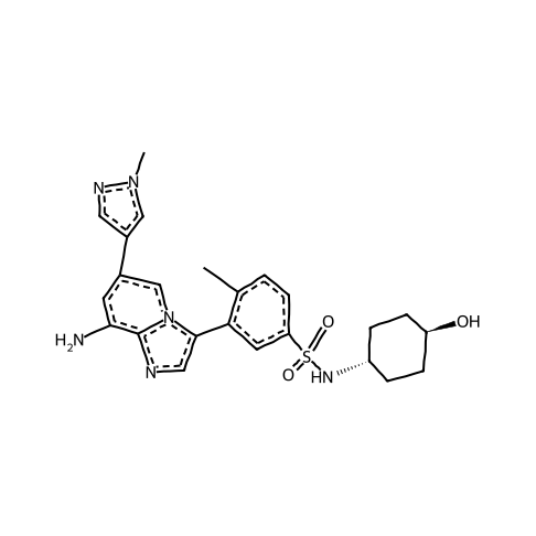 Cc1ccc(S(=O)(=O)N[C@H]2CC[C@H](O)CC2)cc1-c1cnc2c(N)cc(-c3cnn(C)c3)cn12